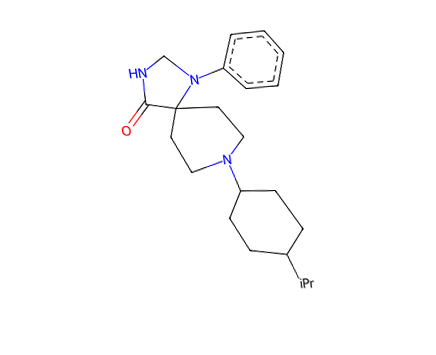 CC(C)C1CCC(N2CCC3(CC2)C(=O)NCN3c2ccccc2)CC1